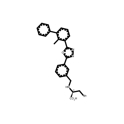 Cc1c(-c2ccccc2)cccc1-c1nnc(-c2cccc(CN[C@@H](CC(C)C)C(=O)O)c2)o1